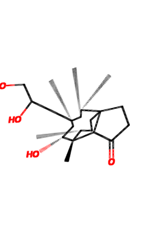 C[C@@H]1CCC23CCC(=O)C2[C@]1(C)[C@H](O)C[C@@](C)(C(O)CO)[C@@H](C)[C@@H]3C